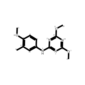 COc1nc(Nc2ccc(OC)c(C)c2)nc(OC)n1